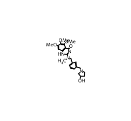 COc1cc2[nH]c(N(C)Cc3cccc(CN4CCC(O)C4)c3)nc(=O)c2c(OC)c1OC